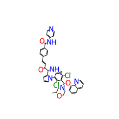 CC1CN(C(Oc2cccc3cccnc23)c2c(Cl)ccc(-n3cccc3C(N)C(=O)C=Cc3ccc(C(=O)Nc4ccncc4)cc3)c2Cl)CCO1